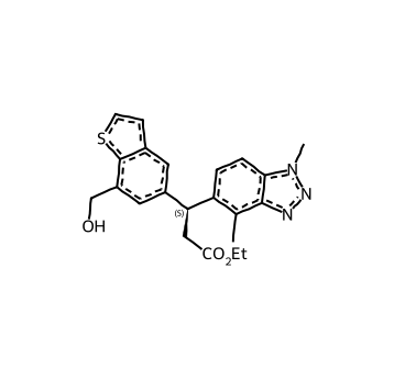 CCOC(=O)C[C@@H](c1cc(CO)c2sccc2c1)c1ccc2c(nnn2C)c1C